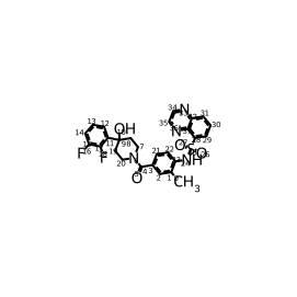 Cc1cc(C(=O)N2CCC(O)(c3cccc(F)c3F)CC2)ccc1NS(=O)(=O)c1cccc2nccnc12